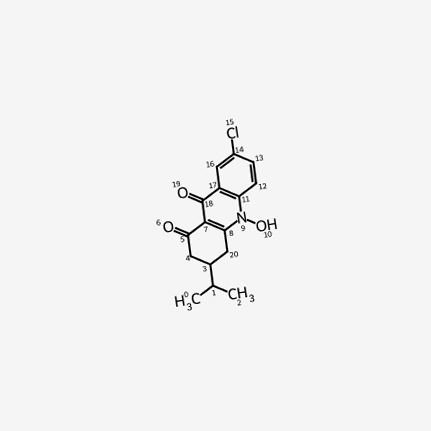 CC(C)C1CC(=O)c2c(n(O)c3ccc(Cl)cc3c2=O)C1